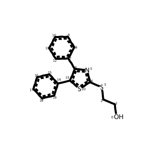 OCCSc1nc(-c2ccccc2)c(-c2ccccc2)s1